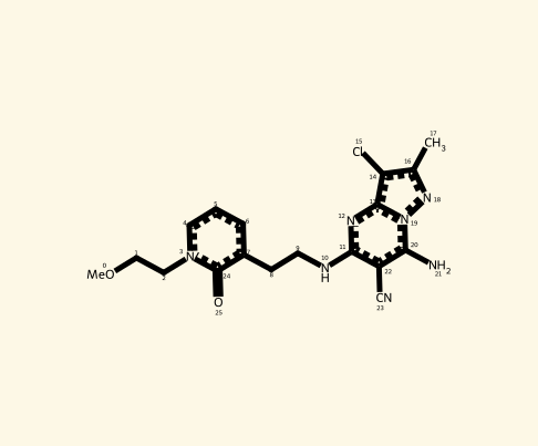 COCCn1cccc(CCNc2nc3c(Cl)c(C)nn3c(N)c2C#N)c1=O